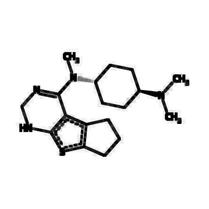 CN(C)[C@H]1CC[C@H](N(C)C2=NCNc3sc4c(c32)CCC4)CC1